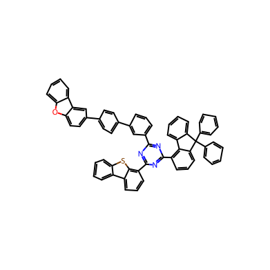 c1ccc(C2(c3ccccc3)c3ccccc3-c3c(-c4nc(-c5cccc(-c6ccc(-c7ccc8oc9ccccc9c8c7)cc6)c5)nc(-c5cccc6c5sc5ccccc56)n4)cccc32)cc1